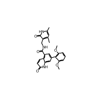 COc1cccc(OC)c1-c1cc(C(=O)NCc2c(C)cc(C)[nH]c2=O)c2ccc(=O)[nH]c2c1